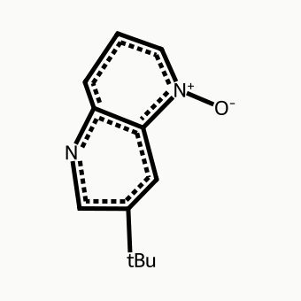 CC(C)(C)c1cnc2ccc[n+]([O-])c2c1